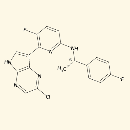 C[C@H](Nc1ccc(F)c(-c2c[nH]c3ncc(Cl)nc23)n1)c1ccc(F)cc1